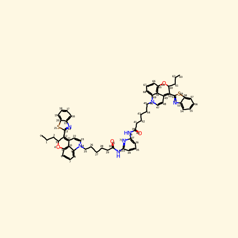 CCCC1Oc2cccc3c2C(=C1c1nc2ccccc2s1)C=CN3CCCCCC(=O)Nc1cccc(NC(=O)CCCCCN2C=CC3=C(c4nc5ccccc5s4)C(CCC)Oc4cccc2c43)n1